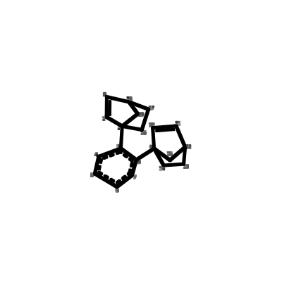 C1=CC2(c3ccccc3C34C=CC(CC3)C4)CCC1C2